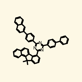 CC1(C)c2cccc(-c3nc(-c4ccc(-c5ccccc5)cc4)nc(-c4ccc(-c5ccc6ccccc6c5)cc4)n3)c2-c2ccc3ccccc3c21